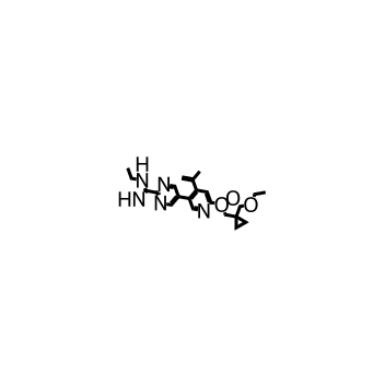 C=C(C)c1cc(OCC2(C(=O)OCC)CC2)ncc1-c1cnc(C(=N)NCC)nc1